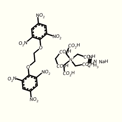 N.O=C(O)CC(=O)O.O=C(O)C[N+](CC(=O)O)(CC(=O)O)CC(=O)O.O=[N+]([O-])c1cc([N+](=O)[O-])c(OCCOc2c([N+](=O)[O-])cc([N+](=O)[O-])cc2[N+](=O)[O-])c([N+](=O)[O-])c1.[C-]#N.[NaH]